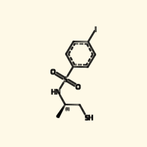 C[C@H](CS)NS(=O)(=O)c1ccc(I)cc1